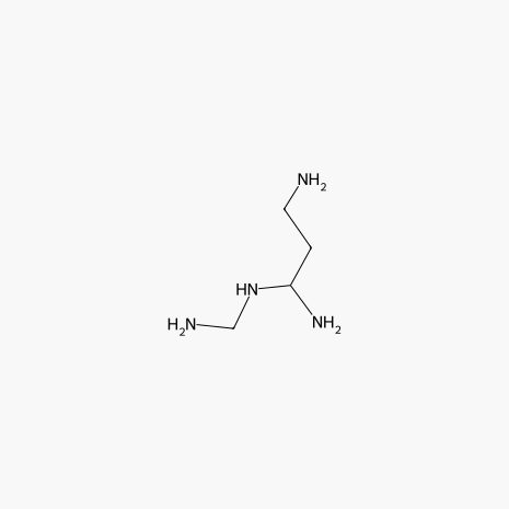 NCCC(N)NCN